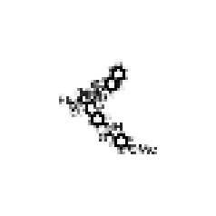 CCN(CC)C(=O)C(Cc1ccc(NC(=O)c2ccc(OC)cc2)cc1)C(=O)NS(=O)(=O)c1ccc2ccccc2c1